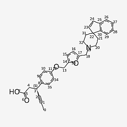 CC#C[C@@H](CC(=O)O)c1ccc(OCc2ccc(CN3CCC4(C=Cc5ccccc54)CC3)o2)cc1